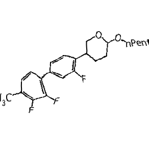 CCCCCOC1CCC(c2ccc(-c3ccc(C)c(F)c3F)cc2F)CO1